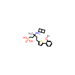 C1CC2CCC12.CCOc1ccccc1-c1ccc(CCC(C)(N)CCP(=O)(O)O)s1